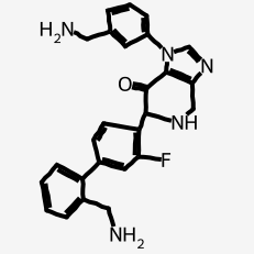 NCc1cccc(-n2cnc3c2C(=O)C(c2ccc(-c4ccccc4CN)cc2F)NC3)c1